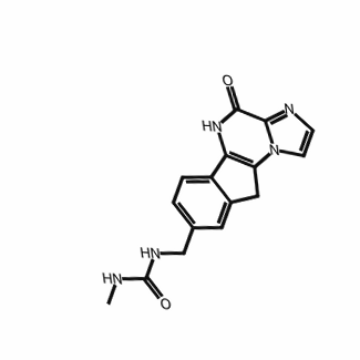 CNC(=O)NCc1ccc2c(c1)Cc1c-2[nH]c(=O)c2nccn12